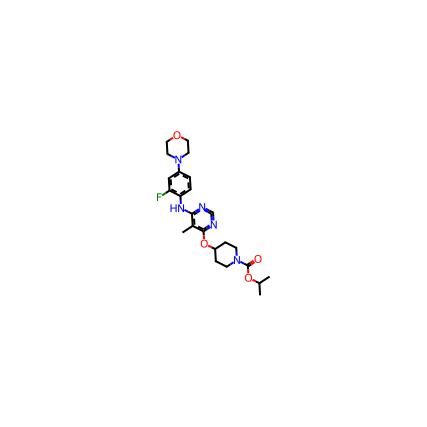 Cc1c(Nc2ccc(N3CCOCC3)cc2F)ncnc1OC1CCN(C(=O)OC(C)C)CC1